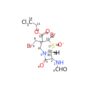 O=CNC1C(=O)N2CC(CBr)(C(=O)OCC(Cl)(Cl)Cl)C(Br)[S+]([O-])[C@H]12